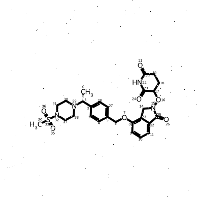 C[C@H](c1ccc(COc2cccc3c2CN(OC2CCC(=O)NC2=O)C3=O)cc1)N1CCN(S(C)(=O)=O)CC1